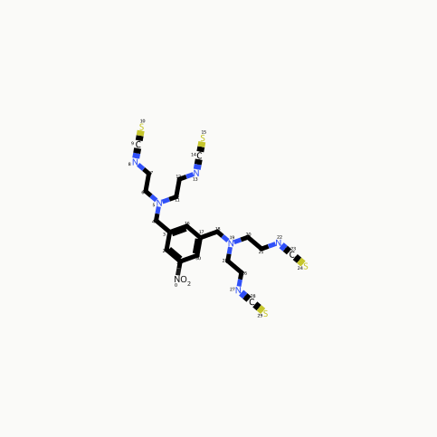 O=[N+]([O-])c1cc(CN(CCN=C=S)CCN=C=S)cc(CN(CCN=C=S)CCN=C=S)c1